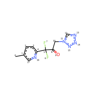 Cc1ccc(C(F)(F)C(=O)Cn2cnnn2)nc1